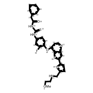 COCCNCc1ccc(-c2cc3nccc(Oc4ccc(NC(=S)NC(=O)Cc5ccccc5)cc4F)c3s2)s1